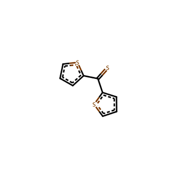 S=C(c1cccs1)c1cccs1